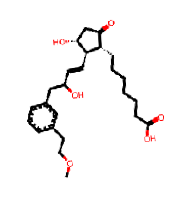 COCCc1cccc(CC(O)/C=C/[C@H]2[C@H](O)CC(=O)[C@@H]2CCCCCCC(=O)O)c1